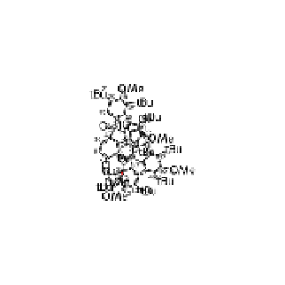 COC(=O)C(C)Oc1c(Cl)ccc(P(=O)(c2cc(C(C)(C)C)c(OC)c(C(C)(C)C)c2)c2cc(C(C)(C)C)c(OC)c(C(C)(C)C)c2)c1-c1c(P(=O)(c2cc(C(C)(C)C)c(OC)c(C(C)(C)C)c2)c2cc(C(C)(C)C)c(OC)c(C(C)(C)C)c2)ccc(Cl)c1O